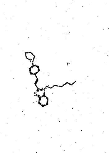 CCCCCCC[n+]1c(/C=C/c2ccc(N3CCCC3)cc2)sc2ccccc21.[I-]